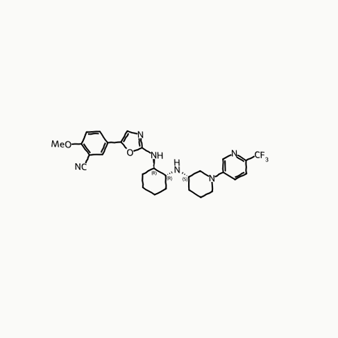 COc1ccc(-c2cnc(N[C@@H]3CCCC[C@H]3N[C@H]3CCCN(c4ccc(C(F)(F)F)nc4)C3)o2)cc1C#N